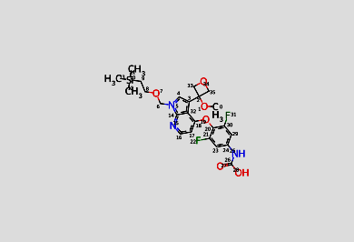 COC1(c2cn(COCC[Si](C)(C)C)c3nccc(Oc4c(F)cc(NC(=O)O)cc4F)c23)COC1